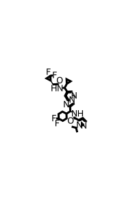 CC(C)n1nccc1C(=O)N[C@H](c1cn2ncc(C(NC(=O)C[C@H]3CC3(F)F)C3CC3)cc2n1)C1CCC(F)(F)CC1